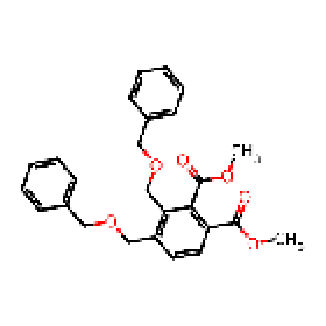 COC(=O)c1ccc(COCc2ccccc2)c(COCc2ccccc2)c1C(=O)OC